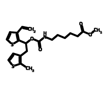 C=Cc1ccsc1C(Cc1ccsc1C)OC(=O)NCCCCCC(=O)OC